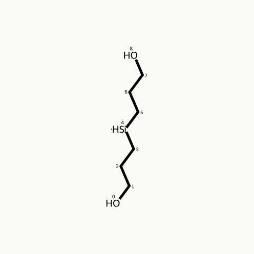 OCCC[SiH]CCCO